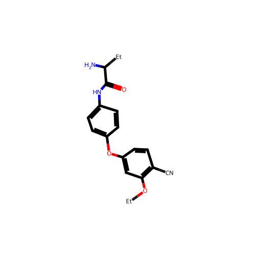 CCOc1cc(Oc2ccc(NC(=O)C(N)CC)cc2)ccc1C#N